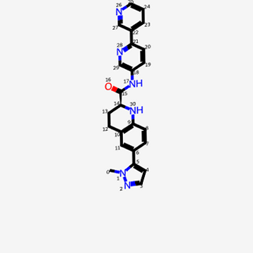 Cn1nccc1-c1ccc2c(c1)CC[C@@H](C(=O)Nc1ccc(-c3cccnc3)nc1)N2